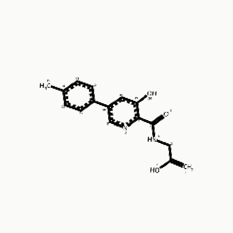 C=C(O)CNC(=O)c1ncc(-c2ccc(C)cc2)cc1O